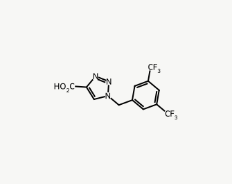 O=C(O)c1cn(Cc2cc(C(F)(F)F)cc(C(F)(F)F)c2)nn1